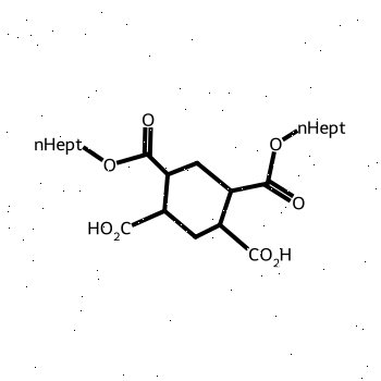 CCCCCCCOC(=O)C1CC(C(=O)OCCCCCCC)C(C(=O)O)CC1C(=O)O